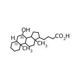 CC12CCC3C(C1CCC2CCCC(=O)O)[C@H](O)C[C@@H]1CCCCC31C